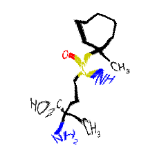 CC1(S(=N)(=O)CC[C@](C)(N)C(=O)O)CCCCC1